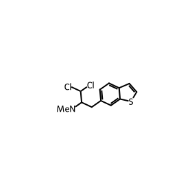 CNC(Cc1ccc2ccsc2c1)C(Cl)Cl